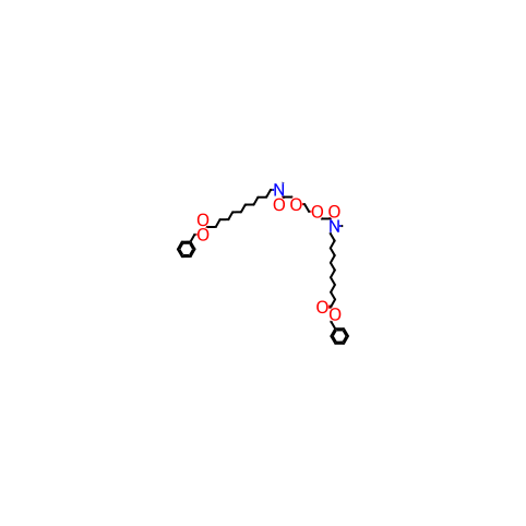 CN(CCCCCCCCCCC(=O)OCc1ccccc1)C(=O)COCCOCC(=O)N(C)CCCCCCCCCCC(=O)OCc1ccccc1